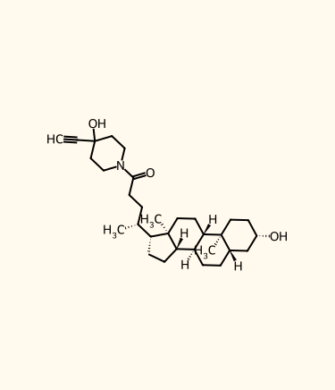 C#CC1(O)CCN(C(=O)CC[C@@H](C)[C@H]2CC[C@H]3[C@@H]4CC[C@H]5C[C@@H](O)CC[C@]5(C)[C@H]4CC[C@]23C)CC1